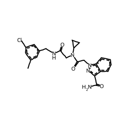 Cc1cc(Cl)cc(CNC(=O)CN(C(=O)Cn2nc(C(N)=O)c3ccccc32)C2CC2)c1